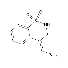 CC=C1CNS(=O)(=O)c2ccccc21